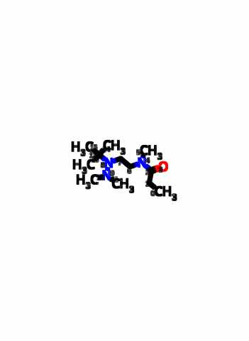 CCC(=O)N(C)CCN(N(C)C)C(C)(C)C